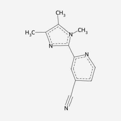 Cc1nc(-c2cc(C#N)ccn2)n(C)c1C